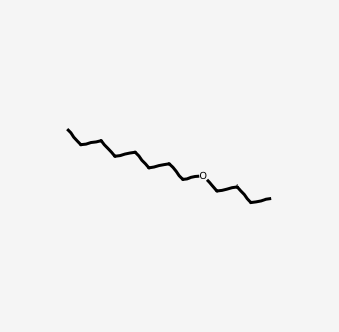 CC[CH]COCCCCCCCC